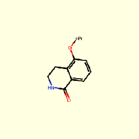 CCCOc1cccc2c1CCNC2=O